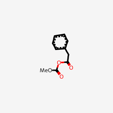 COC(=O)OC(=O)Cc1ccccc1